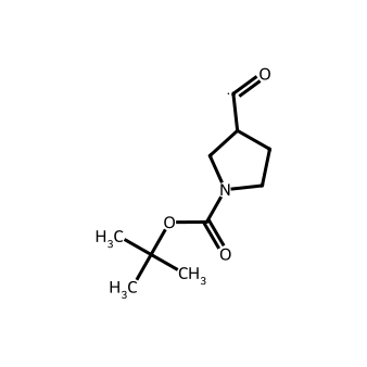 CC(C)(C)OC(=O)N1CCC([C]=O)C1